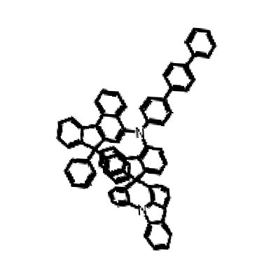 c1ccc(-c2ccc(-c3ccc(N(c4cccc5c4-c4ccccc4C54c5ccccc5-n5c6ccccc6c6cccc4c65)c4cc5c(c6ccccc46)-c4ccccc4C5(c4ccccc4)c4ccccc4)cc3)cc2)cc1